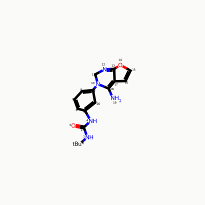 CC(C)(C)NC(=O)Nc1cccc(N2CN=c3occc3=C2N)c1